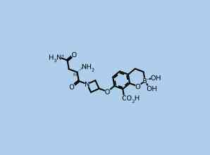 N[C@@H](CC([NH3+])=O)C(=O)N1CC(Oc2ccc3c(c2C(=O)O)O[B-](O)(O)CC3)C1